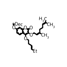 CCC=CCCOc1c(OCC=C(C)CCC=C(C)C)c(=O)oc2cc(OCCCCCCCCCC)ccc12